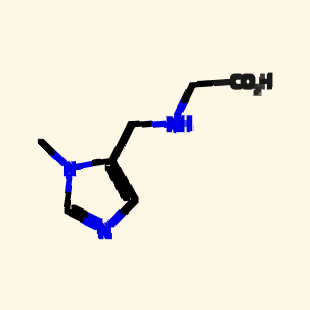 Cn1cncc1CNCC(=O)O